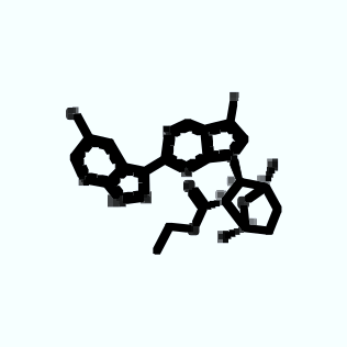 CCOC(=O)[C@@H]1[C@@H](n2cc(F)c3cnc(-c4n[nH]c5ncc(Cl)cc45)nc32)[C@H]2CC[C@@H]1O2